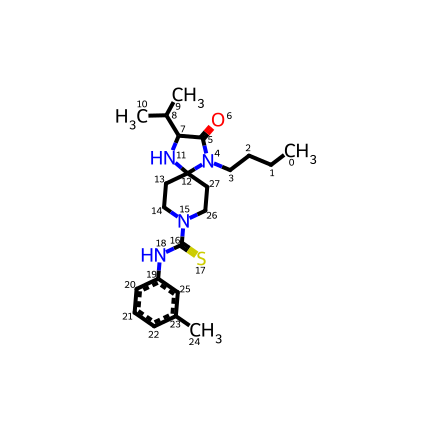 CCCCN1C(=O)C(C(C)C)NC12CCN(C(=S)Nc1cccc(C)c1)CC2